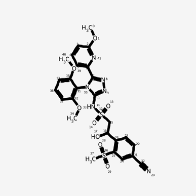 COc1cccc(-c2nnc(NS(=O)(=O)CC(O)c3ccc(C#N)cc3S(C)(=O)=O)n2-c2c(OC)cccc2OC)n1